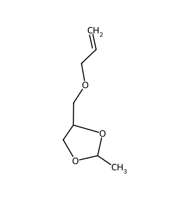 C=CCOCC1COC(C)O1